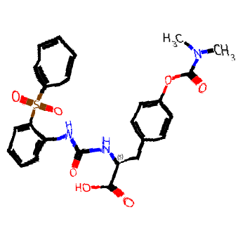 CN(C)C(=O)Oc1ccc(C[C@H](NC(=O)Nc2ccccc2S(=O)(=O)c2ccccc2)C(=O)O)cc1